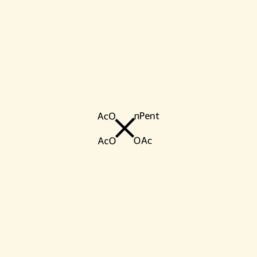 CCCCCC(OC(C)=O)(OC(C)=O)OC(C)=O